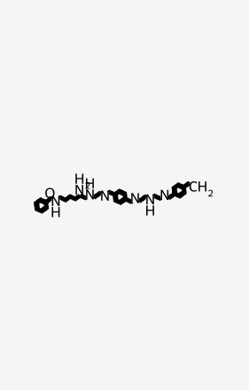 C=Cc1ccc(/C=N/CCNCC/N=C/c2ccc(/C=N/CCNCC(N)CCCCNC(=O)c3ccccc3)cc2)cc1